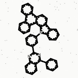 c1ccc(-c2nc(-c3cccc(-n4c5ccccc5c5ccc6c7ccccc7c7ccccc7c6c54)c3)nc3ccccc23)cc1